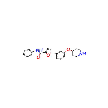 O=C(Nc1ccccc1)c1ccc(-c2cccc(OC3CCNCC3)c2)o1